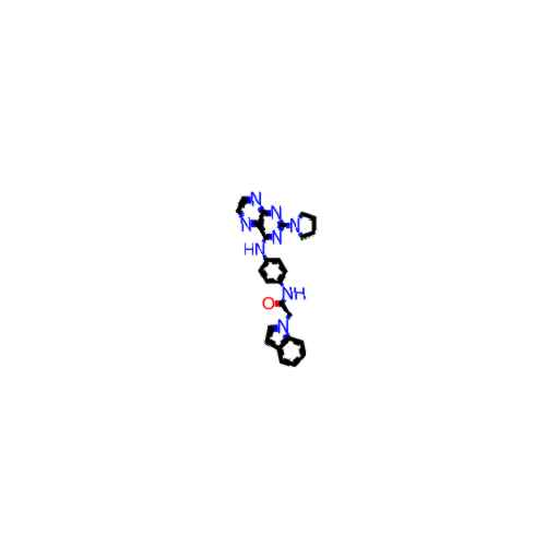 O=C(Cn1ccc2ccccc21)Nc1ccc(Nc2nc(N3CCCC3)nc3nccnc23)cc1